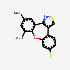 COc1cc(OC)c2c(c1)-c1nscc1-c1ccc(F)cc1O2